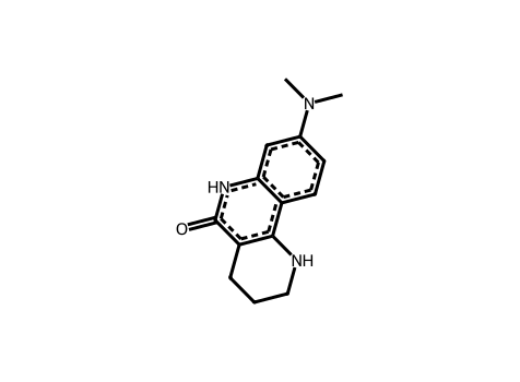 CN(C)c1ccc2c3c(c(=O)[nH]c2c1)CCCN3